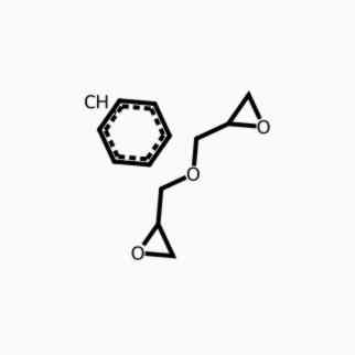 C.C(OCC1CO1)C1CO1.c1ccccc1